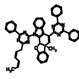 C/C=C\C=C/Cc1nc(-c2ccccc2)nc(-n2c3c(c4ccccc42)C(c2nc(-c4ccccc4)nc(-c4ccccc4)n2)=C[C@@]2(C)c4ccccc4OC32)n1